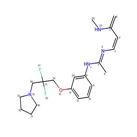 C=C(/C=C\N=C(/C)Nc1cccc(OCC(F)(F)CN2CCCC2)c1)NC